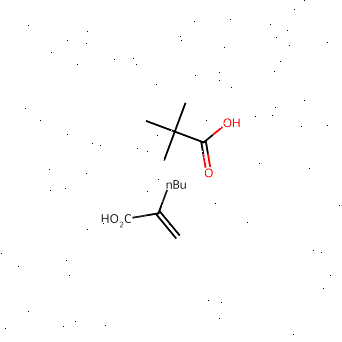 C=C(CCCC)C(=O)O.CC(C)(C)C(=O)O